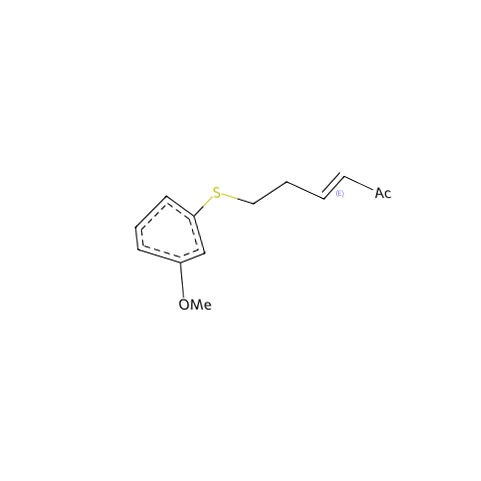 COc1cccc(SCC/C=C/C(C)=O)c1